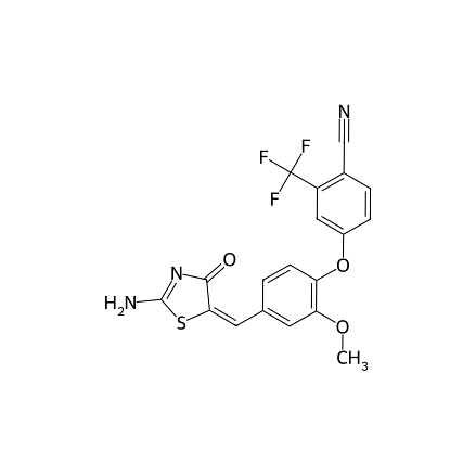 COc1cc(/C=C2/SC(N)=NC2=O)ccc1Oc1ccc(C#N)c(C(F)(F)F)c1